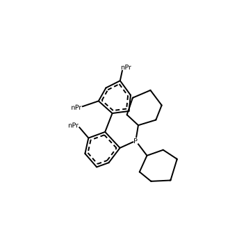 CCCc1ccc(-c2c(CCC)cccc2P(C2CCCCC2)C2CCCCC2)c(CCC)c1